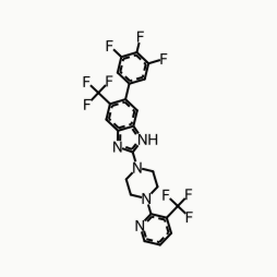 Fc1cc(-c2cc3[nH]c(N4CCN(c5ncccc5C(F)(F)F)CC4)nc3cc2C(F)(F)F)cc(F)c1F